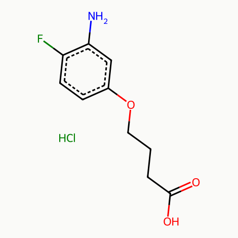 Cl.Nc1cc(OCCCC(=O)O)ccc1F